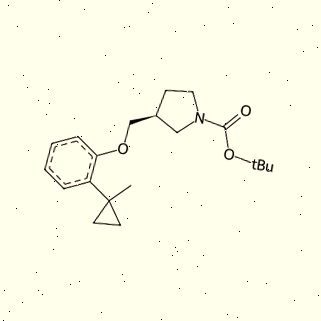 CC(C)(C)OC(=O)N1CC[C@H](COc2ccccc2C2(C)CC2)C1